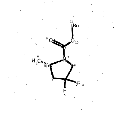 C[C@H]1CC(F)(F)CN1C(=O)OC(C)(C)C